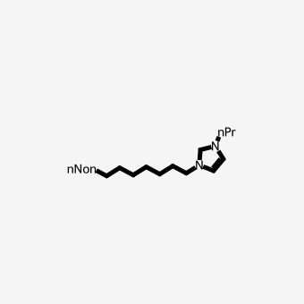 CCCCCCCCCCCCCCCCN1C=CN(CCC)C1